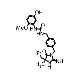 COc1ccc(O)cc1NC(=O)NCc1ccc(CN2C(=N)NC(C)(CC(C)C)C2=O)cc1